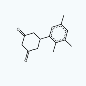 Cc1cc(C)c(C)c(C2CC(=O)CC(=O)C2)c1